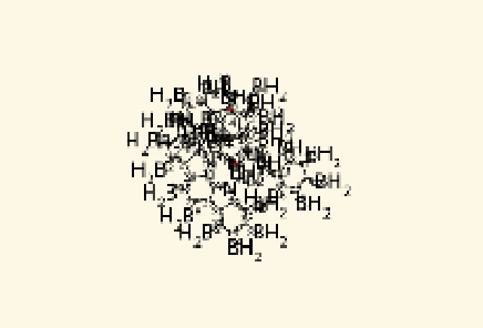 BC1=C(B)C(c2c(B)c(B)c(B)c(-n3c4c(B)c(B)c(B)c(B)c4c4c(B)c(B)c5c6c(B)c(B)c(B)c(B)c6n(-c6nc(-c7c(B)c(B)c(B)c(B)c7B)nc(-c7c(B)c(B)c(B)c(B)c7B)n6)c5c43)c2B)C(c2c(B)c(B)c(B)c(B)c2B)=C1B